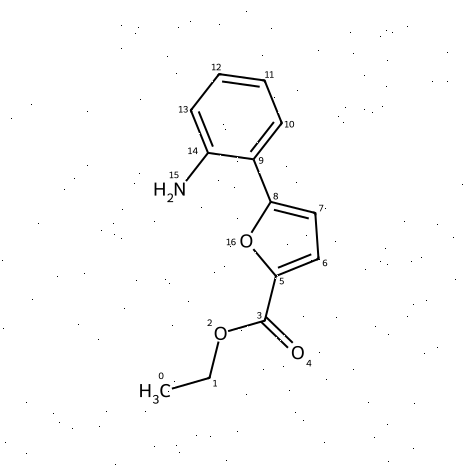 CCOC(=O)c1ccc(-c2ccccc2N)o1